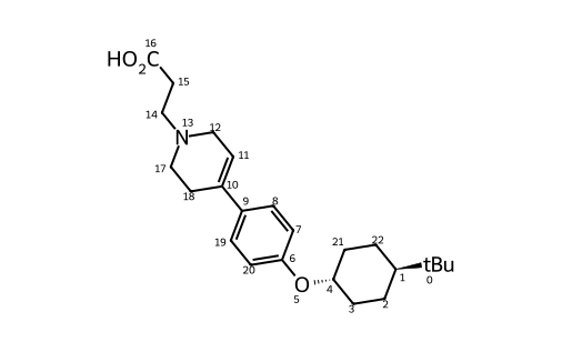 CC(C)(C)[C@H]1CC[C@H](Oc2ccc(C3=CCN(CCC(=O)O)CC3)cc2)CC1